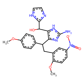 COc1ccc(C(Cc2cc([N+](=O)[O-])ccc2OC)c2nc(N)[nH]c2C(O)c2ncc[nH]2)cc1